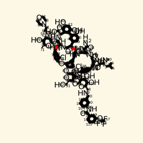 CN[C@H](CC(C)C)C(=O)NC1C(=O)N[C@@H](CC(N)=O)C(=O)N[C@H]2C(=O)N[C@H]3C(=O)N[C@H](C(=O)N[C@@H](C(=O)O)c4cc(O)cc(O)c4-c4cc3ccc4O)[C@H](OC3C[C@](C)(NCCN4CCOCC4)[C@@H](O)[C@H](C)O3)c3ccc(c(Cl)c3)Oc3cc2cc(c3O[C@@H]2O[C@H](CO)[C@@H](O[C@@H]3O[C@H](CNCc4cccc(NC(=O)c5cccc(OC(F)(F)F)c5)c4)[C@H](O)[C@H](O)[C@H]3O)[C@H](O)[C@H]2O)Oc2ccc(cc2Cl)[C@H]1O